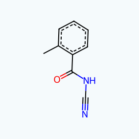 Cc1ccccc1C(=O)NC#N